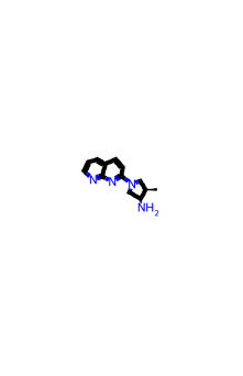 C[C@@H]1CN(c2ccc3cccnc3n2)C[C@H]1N